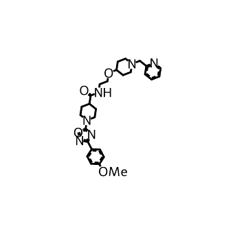 COc1ccc(-c2noc(N3CCC(C(=O)NCCOC4CCN(Cc5ccccn5)CC4)CC3)n2)cc1